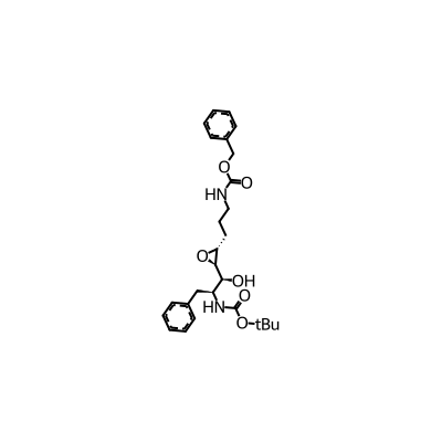 CC(C)(C)OC(=O)N[C@@H](Cc1ccccc1)[C@H](O)[C@H]1O[C@@H]1CCCNC(=O)OCc1ccccc1